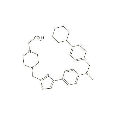 CN(Cc1ccc(C2CCCCC2)cc1)c1ccc(-c2csc(CN3CCN(CC(=O)O)CC3)n2)cc1